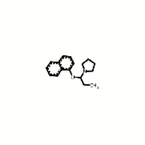 CCC(Oc1cccc2ccccc12)N1CCCC1